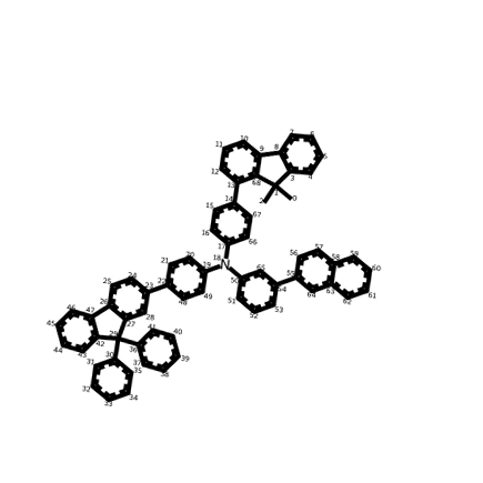 CC1(C)c2ccccc2-c2cccc(-c3ccc(N(c4ccc(-c5ccc6c(c5)C(c5ccccc5)(c5ccccc5)c5ccccc5-6)cc4)c4cccc(-c5ccc6ccccc6c5)c4)cc3)c21